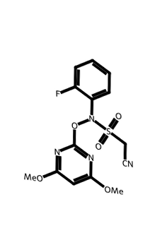 COc1cc(OC)nc(ON(c2ccccc2F)S(=O)(=O)CC#N)n1